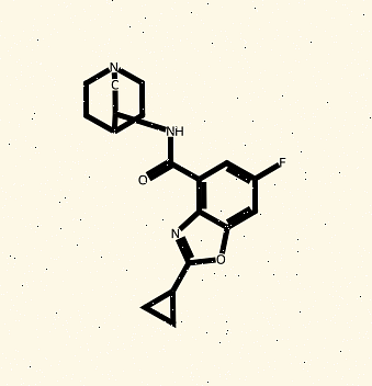 O=C(NC1CN2CCC1CC2)c1cc(F)cc2oc(C3CC3)nc12